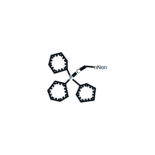 CCCCCCCCCC=C=P(c1ccccc1)(c1ccccc1)c1ccccc1